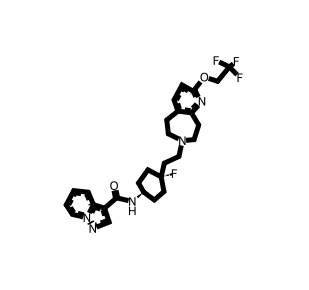 O=C(N[C@H]1CC[C@](F)(CCN2CCc3ccc(OCC(F)(F)F)nc3CC2)CC1)c1cnn2ccccc12